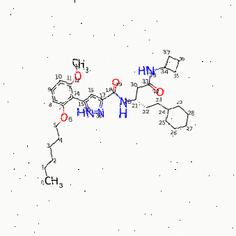 CCCCCCOc1cccc(OC)c1-c1cc(C(=O)N[C@@H](CCC2CCCCC2)CC(=O)NC2CCC2)n[nH]1